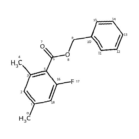 Cc1cc(C)c(C(=O)OCc2ccccc2)c(F)c1